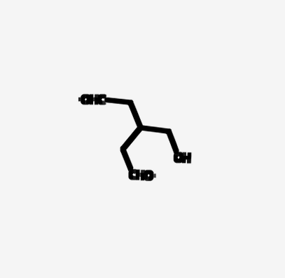 O=[C]CC(CO)C[C]=O